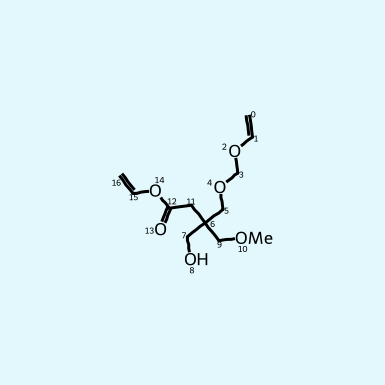 C=COCOCC(CO)(COC)CC(=O)OC=C